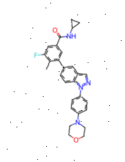 Cc1c(F)cc(C(=O)NC2CC2)cc1-c1ccc2c(cnn2-c2ccc(N3CCOCC3)cc2)c1